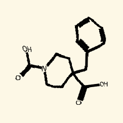 O=C(O)N1CCC(Cc2ccccc2)(C(=O)O)CC1